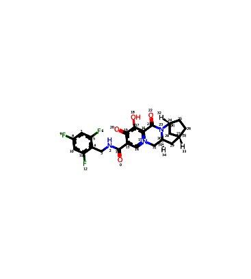 O=C(NCc1c(F)cc(F)cc1F)c1cn2c(c(O)c1=O)C(=O)N1[C@@H]3CC[C@@H](C3)C[C@H]1C2